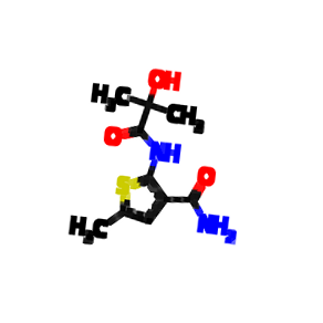 Cc1cc(C(N)=O)c(NC(=O)C(C)(C)O)s1